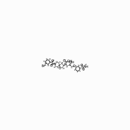 CNS(=O)(=O)c1cccc(OC[C@@H](O)CN(C(=O)O)C2COC3(CCN(S(=O)(=O)c4cccc(Br)c4)CC3)C2)c1